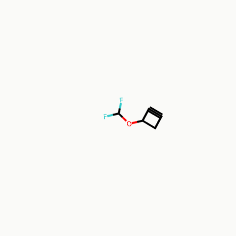 FC(F)OC1C#CC1